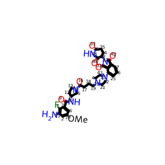 COc1cc(N)c(F)c(C(=O)N[C@@H]2CCN(C(=O)CCCN3CCN(c4cccc5c4C(=O)N(C4CCC(=O)NC4=O)C5=O)CC3)C2)c1